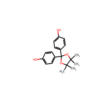 CC1(C)OC(c2ccc(O)cc2)(c2ccc(O)cc2)OC1(C)C